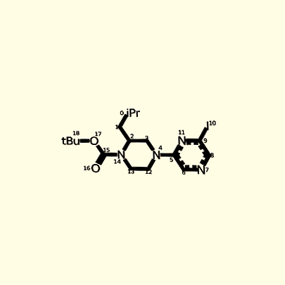 CC(C)CC1CN(c2cncc(I)n2)CCN1C(=O)OC(C)(C)C